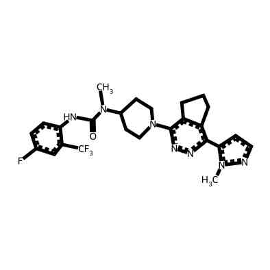 CN(C(=O)Nc1ccc(F)cc1C(F)(F)F)C1CCN(c2nnc(-c3ccnn3C)c3c2CCC3)CC1